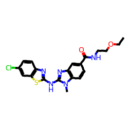 CCOCCNC(=O)c1ccc2c(c1)nc(Nc1nc3ccc(Cl)cc3s1)n2C